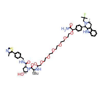 Cc1ncsc1-c1ccc(CNC(=O)[C@@H]2C[C@@H](O)CN2C(=O)[C@@H](NC(=O)COCCOCCOCCOCCOCCOC(C(N)=O)c2ccc([C@@H]3c4[nH]c5ccccc5c4C[C@@H](C)N3CC(C)(C)F)cc2)C(C)(C)C)cc1